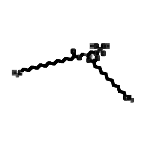 CCCCCCCCCCCCCC(=O)OC[C@H](COP(=O)(O)O)OC(=O)CCCCCCCCCCC